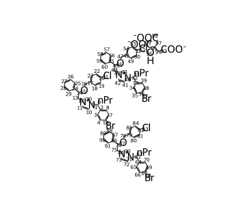 CCCC(c1ccc(Br)cc1)n1cc[n+](CC(OCc2ccc(Cl)cc2)c2ccccc2)c1.CCCC(c1ccc(Br)cc1)n1cc[n+](CC(OCc2ccc(Cl)cc2)c2ccccc2)c1.CCCC(c1ccc(Br)cc1)n1cc[n+](CC(OCc2ccc(Cl)cc2)c2ccccc2)c1.O=C([O-])CC(O)(CC(=O)[O-])C(=O)[O-]